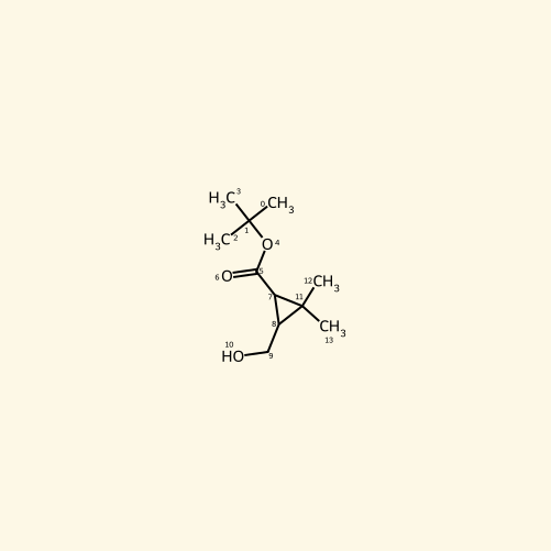 CC(C)(C)OC(=O)C1C(CO)C1(C)C